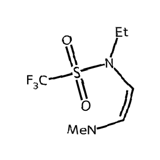 CCN(/C=C\NC)S(=O)(=O)C(F)(F)F